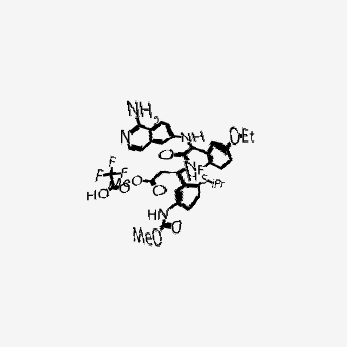 CCOc1ccc(F)c(C(Nc2ccc3c(N)nccc3c2)C(=O)N[C@H](CC(=O)OC)c2cc(NC(=O)OC)ccc2SC(C)C)c1.O=C(O)C(F)(F)F